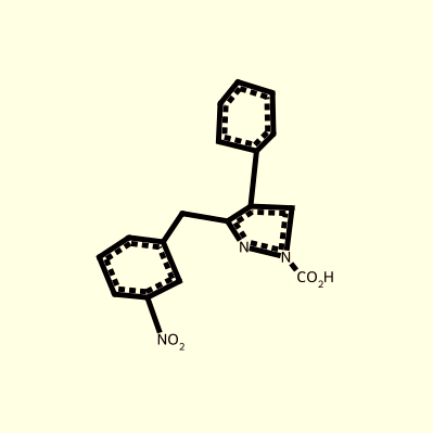 O=C(O)n1cc(-c2ccccc2)c(Cc2cccc([N+](=O)[O-])c2)n1